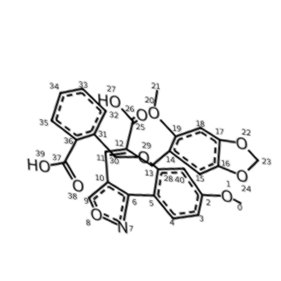 COc1ccc(-c2nocc2/C=C(\Cc2cc3c(cc2OC)OCO3)C(=O)O)c(OCc2ccccc2C(=O)O)c1